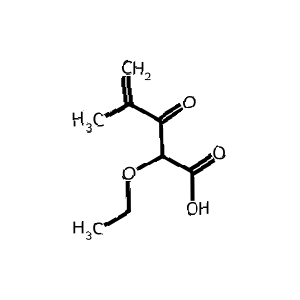 C=C(C)C(=O)C(OCC)C(=O)O